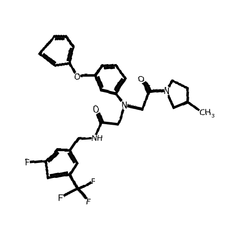 CC1CCN(C(=O)CN(CC(=O)NCc2cc(F)cc(C(F)(F)F)c2)c2cccc(Oc3ccccc3)c2)C1